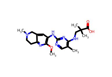 COc1nc2c(cc1Nc1ncc(C)c(NCC(C)(C)C(=O)O)n1)CN(C)CC2